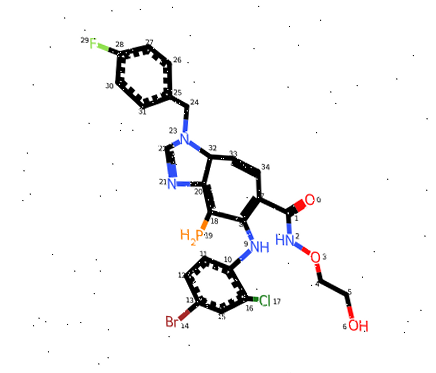 O=C(NOCCO)C1=C(Nc2ccc(Br)cc2Cl)C(P)=C2N=CN(Cc3ccc(F)cc3)C2C=C1